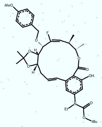 CCN(C(=O)OC(C)(C)C)c1cc(O)c2c(c1)/C=C/C[C@@H]1OC(C)(C)O[C@@H]1[C@H](OCc1ccc(OC)cc1)/C(F)=C\[C@@H](C)[C@H](C)OC2=O